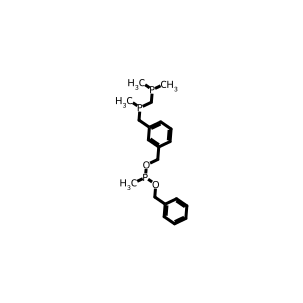 CP(C)CP(C)Cc1cccc(COP(C)OCc2ccccc2)c1